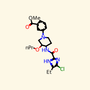 CCCOC1CN(c2cccc(C(=O)OC)c2)CCC1NC(=O)c1nc(Cl)c(CC)[nH]1